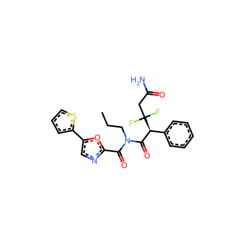 CCCN(C(=O)c1ncc(-c2cccs2)o1)C(=O)[C@H](c1ccccc1)C(F)(F)CC(N)=O